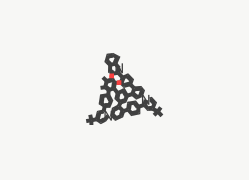 Cc1c(C)c(C)c(-c2cc(-c3ccccc3-c3ccc(-c4cc(C(C)(C)C)ccn4)cc3)cc(-c3ccccc3-c3ccc(-c4ccc5ccccc5n4)cc3)c2)c(-c2ccc(-c3cc(C(C)(C)C)ccn3)cc2)c1C